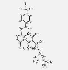 Cc1ccc2c3c1c(O)c(C(=O)NCC(=O)OC(C)(C)C)c(=O)n3CC(c1ccc(C(F)(F)F)cc1)O2